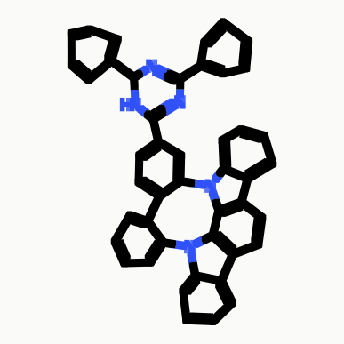 c1ccc(C2=NC(c3ccccc3)NC(c3ccc4c5ccccc5n5c6ccccc6c6ccc7c8ccccc8n(c4c3)c7c65)=N2)cc1